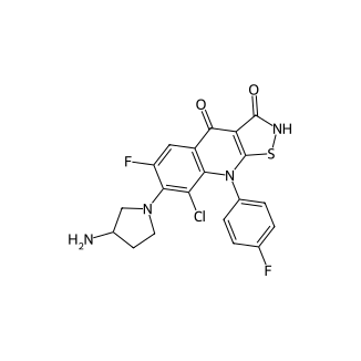 NC1CCN(c2c(F)cc3c(=O)c4c(=O)[nH]sc4n(-c4ccc(F)cc4)c3c2Cl)C1